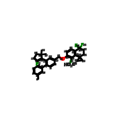 Cc1ccc(F)c(-c2ccc(COc3ccc4c(c3F)[C@]3(CCC4(F)F)C[C@@H]3C(=O)O)cc2C2=CCCC2(C)C)c1